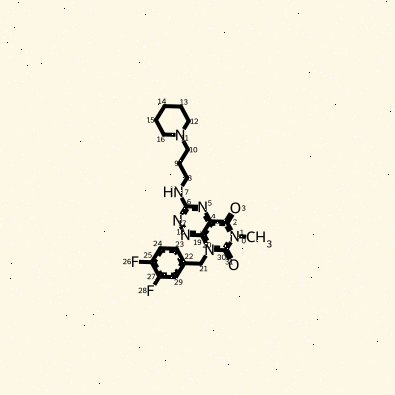 Cn1c(=O)c2nc(NCCCN3CCCCC3)nnc2n(Cc2ccc(F)c(F)c2)c1=O